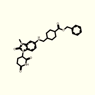 Cn1c(=O)n(C2CCC(=O)NC2=O)c2ccc(NCC3CCC(C(=O)OCc4ccccc4)CC3)cc21